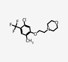 Cc1cc(C(F)(F)F)c(Cl)cc1OCCN1CCOCC1